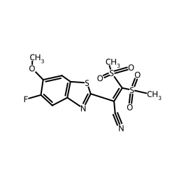 COc1cc2sc(C(C#N)=C(S(C)(=O)=O)S(C)(=O)=O)nc2cc1F